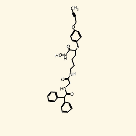 CC#CCOc1ccc(SC(CCCCNC(=O)CNC(=O)C(c2ccccc2)c2ccccc2)C(=O)NO)cc1